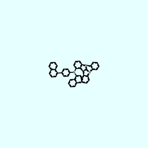 c1ccc2c(-c3ccc(N(c4cccc5ccccc45)c4cccc5c4c4c6ccccc6n6c7ccccc7n5c46)cc3)cccc2c1